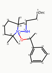 CCCCCCCCCCCCN[N+]1(OC(C)c2ccccc2)C(C)(C)CCCC1(C)C